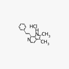 Cc1[nH]c2c(/C=C/c3ccccc3)nccc2c1C.Cl